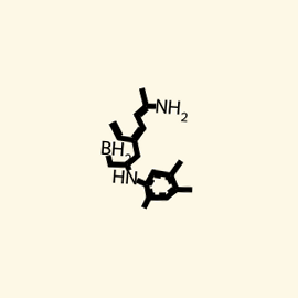 BCC(C/C(C=C)=C/C=C(/C)N)Nc1cc(C)c(C)cc1C